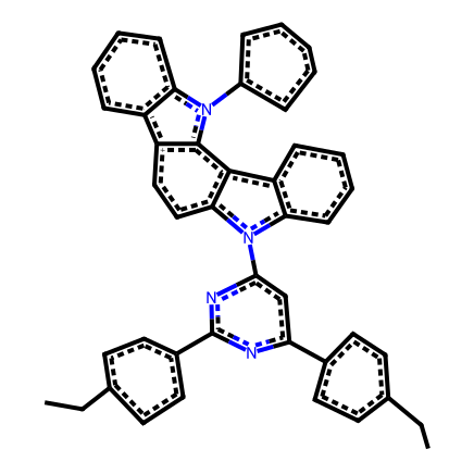 CCc1ccc(-c2cc(-n3c4ccccc4c4c3ccc3c5ccccc5n(-c5ccccc5)c34)nc(-c3ccc(CC)cc3)n2)cc1